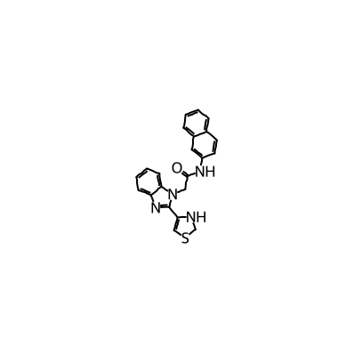 O=C(Cn1c(C2=CSCN2)nc2ccccc21)Nc1ccc2ccccc2c1